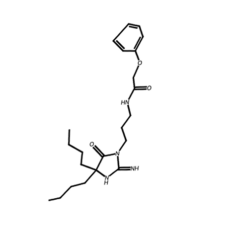 CCCCC1(CCCC)NC(=N)N(CCCNC(=O)COc2ccccc2)C1=O